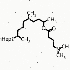 CCCCCCCC(C)CCCC(C)CCC(C)OC(=O)CCCN(C)C